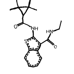 CCNC(=O)c1c(NC(=O)C2C(C)(C)C2(C)C)sc2ccccc12